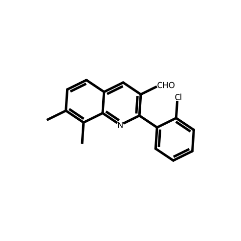 Cc1ccc2cc(C=O)c(-c3ccccc3Cl)nc2c1C